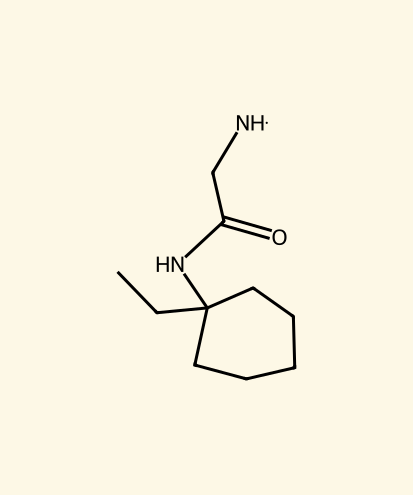 CCC1(NC(=O)C[NH])CCCCC1